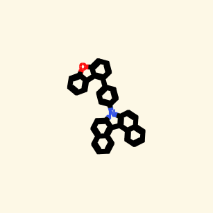 c1ccc2c(c1)ccc1c2c2c3ccccc3ccc2n1-c1ccc(-c2cccc3oc4ccccc4c23)cc1